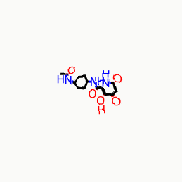 CC(=O)NC1CCC(NC(=O)C2=C(O)C(=O)CC(=O)N2)CC1